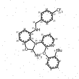 CC(C)(C)c1ccccc1Oc1ncccc1N1c2c(NCc3ccc(C(F)(F)F)cc3)cccc2OC1N